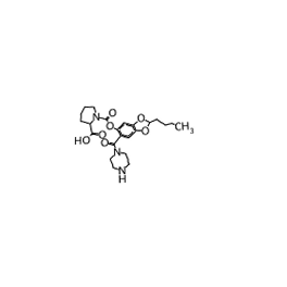 CCCCC1Oc2cc(OC(=O)N3CCCCC3C(=O)O)c(C(=O)N3CCNCC3)cc2O1